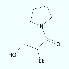 CCC(CO)C(=O)N1CCCC1